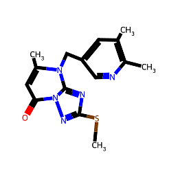 CSc1nc2n(Cc3cnc(C)c(C)c3)c(C)cc(=O)n2n1